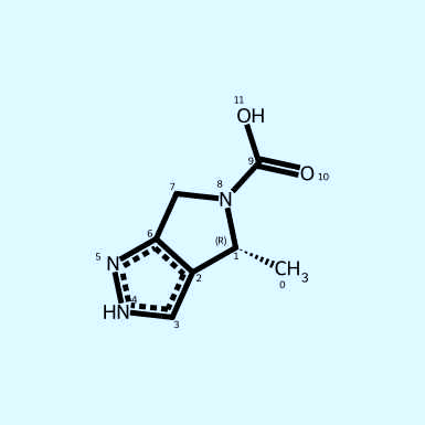 C[C@@H]1c2c[nH]nc2CN1C(=O)O